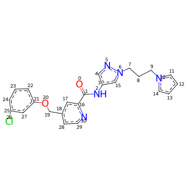 O=C(Nc1cnn(CCCn2cccc2)c1)c1cc(COc2cccc(Cl)c2)ccn1